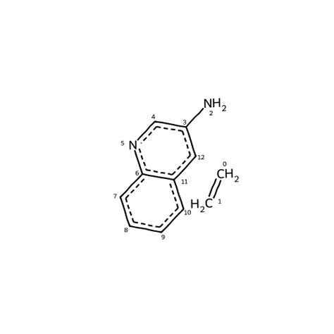 C=C.Nc1cnc2ccccc2c1